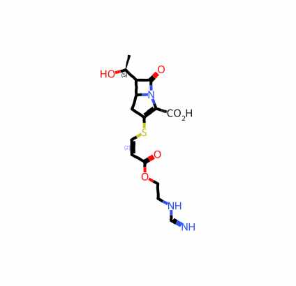 C[C@H](O)C1C(=O)N2C(C(=O)O)=C(S/C=C\C(=O)OCCNC=N)CC12